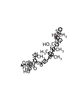 Cc1ncsc1-c1ccc(CNC(=O)[C@@H]2C[C@@H](O)CN2C(=O)C(NC(=O)C2(F)CC2)C(C)(C)C)c(OCC(=O)N2CCN(CCOC34CC5(Cn6ncc(-c7ccc(N8CCCc9c8nnc(Nc8nc%10ccccc%10s8)c9C)nc7C(=O)O)c6C)C[C@@](C)(C3)C[C@](C)(C5)C4)CC2)c1